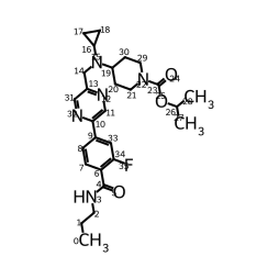 CCCNC(=O)c1ccc(-c2cnc(CN(C3CC3)C3CCN(C(=O)OC(C)C)CC3)cn2)cc1F